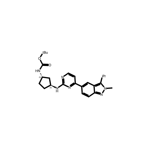 CC(C)c1c2cc(-c3ccnc(N[C@H]4CC[C@H](NC(=O)OC(C)(C)C)C4)n3)ccc2nn1C